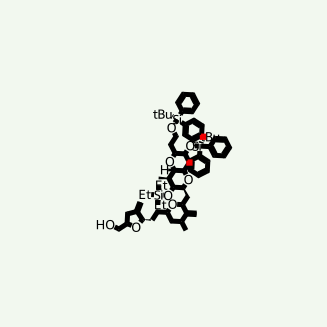 C=C1C(C)CC(CC[C@@H]2OC(CO)CC2=C)OC1C[C@@H]1OC2CC(O[Si](c3ccccc3)(c3ccccc3)C(C)(C)C)C(CCO[Si](c3ccccc3)(c3ccccc3)C(C)(C)C)O[C@H]2[C@H](C)C1O[Si](CC)(CC)CC